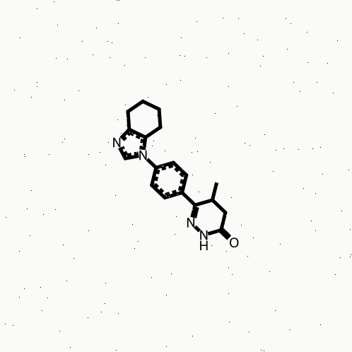 CC1CC(=O)NN=C1c1ccc(-n2cnc3c2CCCC3)cc1